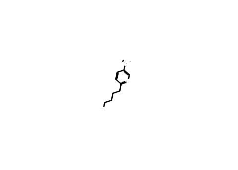 NCCCCc1ccc([N+](=O)[O-])cn1